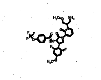 COCC(CN)n1cccc(N2C[C@@H](c3c(F)cc(OC)cc3F)[C@H](NC(=O)c3ccc(OC(F)(F)F)cc3)C2=O)c1=O